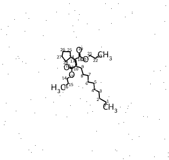 CCCCCCCCCCC(C(=O)OCCC)=C(C(=O)OCCC)C1CCCC1